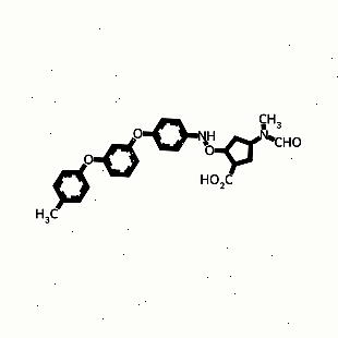 Cc1ccc(Oc2cccc(Oc3ccc(NOC4CC(N(C)C=O)CC4C(=O)O)cc3)c2)cc1